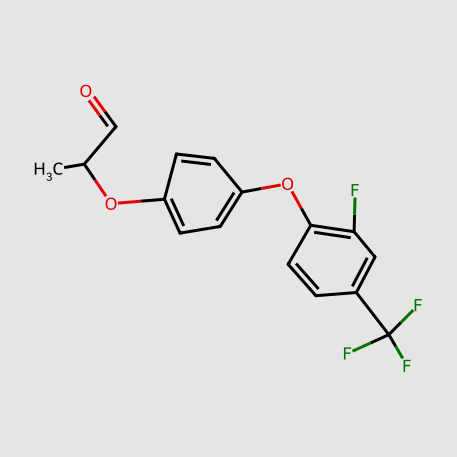 CC(C=O)Oc1ccc(Oc2ccc(C(F)(F)F)cc2F)cc1